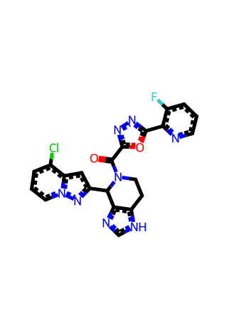 O=C(c1nnc(-c2ncccc2F)o1)N1CCc2[nH]cnc2C1c1cc2c(Cl)cccn2n1